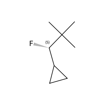 CC(C)(C)[C@@H](F)C1CC1